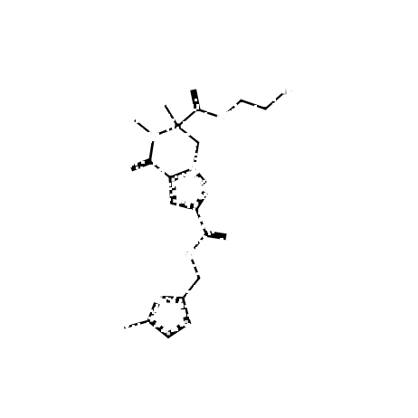 Cc1ccc(CNC(=O)c2cc3n(n2)CC(C)(C(=O)NCCC(C)C)N(C)C3=O)o1